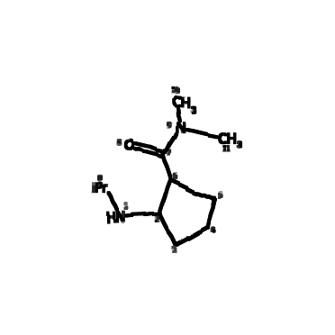 CC(C)NC1CCCC1C(=O)N(C)C